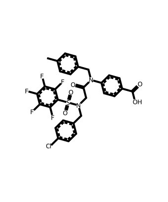 Cc1ccc(CN(C(=O)CN(Cc2ccc(Cl)cc2)S(=O)(=O)c2c(F)c(F)c(F)c(F)c2F)c2ccc(C(=O)O)cc2)cc1